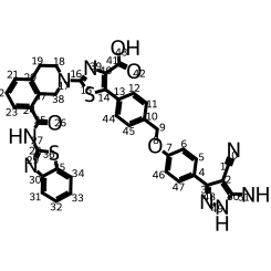 N#Cc1c(-c2ccc(OCc3ccc(-c4sc(N5CCc6cccc(C(=O)Nc7nc8ccccc8s7)c6C5)nc4C(=O)O)cc3)cc2)n[nH]c1N